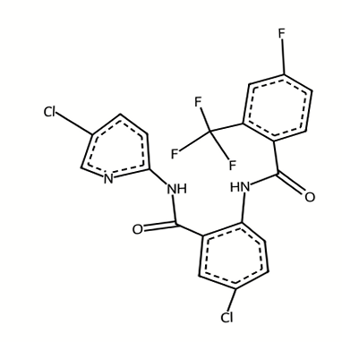 O=C(Nc1ccc(Cl)cn1)c1cc(Cl)ccc1NC(=O)c1ccc(F)cc1C(F)(F)F